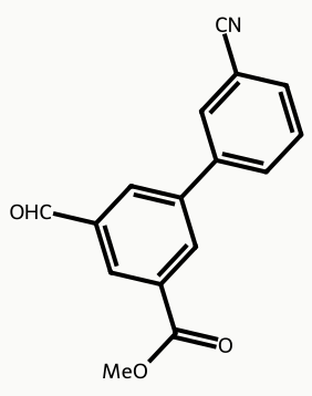 COC(=O)c1cc(C=O)cc(-c2cccc(C#N)c2)c1